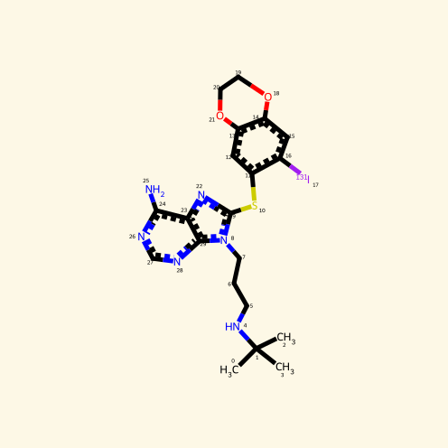 CC(C)(C)NCCCn1c(Sc2cc3c(cc2[131I])OCCO3)nc2c(N)ncnc21